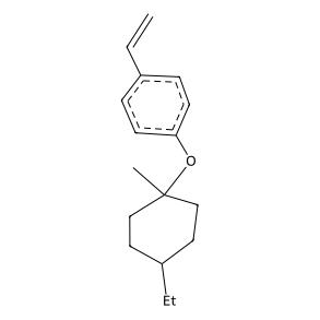 C=Cc1ccc(OC2(C)CCC(CC)CC2)cc1